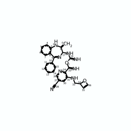 C=C1Nc2ccccc2C(c2ccccc2)=NC1NC(=N)OC(=N)c1ncc(C#N)cc1NCC1C=CO1